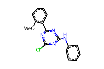 COc1ccccc1-c1nc(Cl)nc(Nc2ccccc2)n1